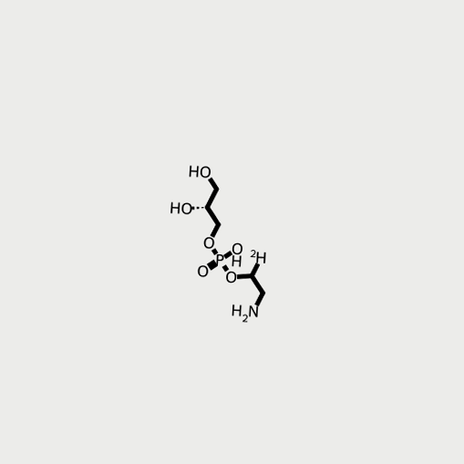 [2H]C(CN)OP(=O)(O)OC[C@H](O)CO